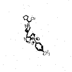 Cc1ccc(S(=O)(=O)n2ccc3c(-c4cnn(C(CC#N)=C5CCCC5)c4)ncnc32)cc1